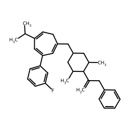 C=C(Cc1ccccc1)C1C(C)CC(CC2=CC(c3cccc(F)c3)=CC(C(C)C)=CC2)CC1C